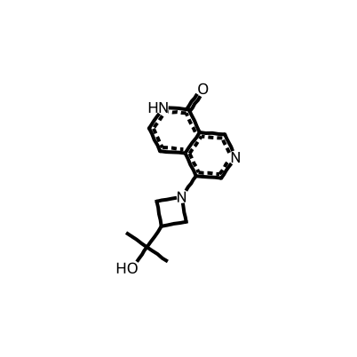 CC(C)(O)C1CN(c2cncc3c(=O)[nH]ccc23)C1